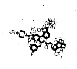 CC(C)N1CCN(c2nc3nc([C@H](Cc4cc(F)cc(F)c4)NC(=O)Cn4nc(C(F)(F)F)c5c4C(F)(F)[C@@H]4CC[C@H]54)c(-c4cccc5c(NS(C)(=O)=O)nn(C)c45)cc3s2)CC1